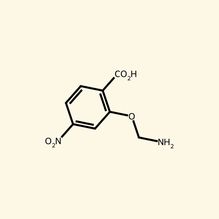 NCOc1cc([N+](=O)[O-])ccc1C(=O)O